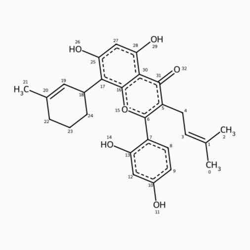 CC(C)=CCc1c(-c2ccc(O)cc2O)oc2c(C3C=C(C)CCC3)c(O)cc(O)c2c1=O